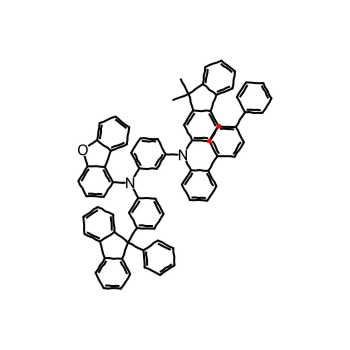 CC1(C)c2ccccc2-c2ccc(N(c3cccc(N(c4cccc(C5(c6ccccc6)c6ccccc6-c6ccccc65)c4)c4cccc5oc6ccccc6c45)c3)c3ccccc3-c3ccc(-c4ccccc4)cc3)cc21